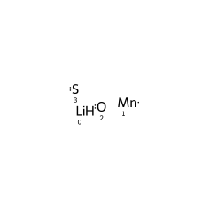 [LiH].[Mn].[O].[S]